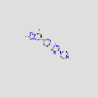 Cc1cn2cc(-c3ccc(-c4cnc(N5CCN(C)CC5)nn4)nc3)cc(C)c2n1